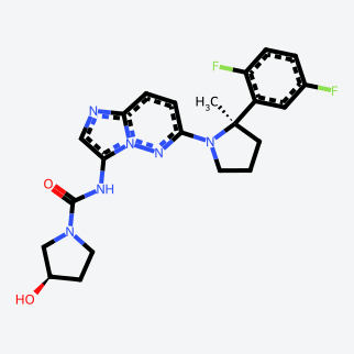 C[C@]1(c2cc(F)ccc2F)CCCN1c1ccc2ncc(NC(=O)N3CC[C@@H](O)C3)n2n1